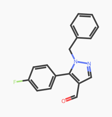 O=Cc1cnn(Cc2ccccc2)c1-c1ccc(F)cc1